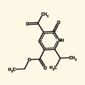 CCOC(=O)c1cc(C(C)=O)c(=O)[nH]c1C(C)C